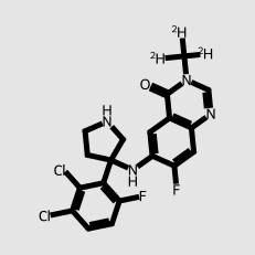 [2H]C([2H])([2H])n1cnc2cc(F)c(NC3(c4c(F)ccc(Cl)c4Cl)CCNC3)cc2c1=O